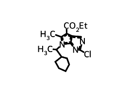 CCOC(=O)c1c(C)n(C(C)C2CCCCC2)c2nc(Cl)ncc12